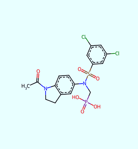 CC(=O)N1CCc2cc(N(CP(=O)(O)O)S(=O)(=O)c3cc(Cl)cc(Cl)c3)ccc21